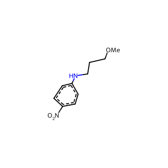 COCCCNc1ccc([N+](=O)[O-])cc1